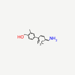 C=C(/C=C\C(=C/N)C(F)(F)F)c1ccc(CO)c(C)c1